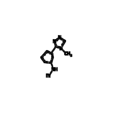 CCNc1cccc(-c2nncn2C)c1